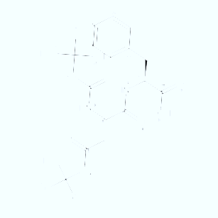 CC(C)(C)OC(=O)C[C@H](NC(=O)OC(C)(C)C)C(=O)N[C@@H](Cc1ccccc1)C(=O)O